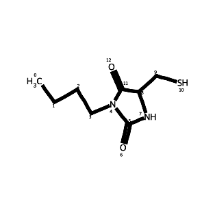 CCCCN1C(=O)NC(CS)C1=O